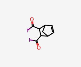 O=C(I)C1C2C=CC(C2)C1C(=O)I